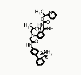 CC(C)CN(CC(=O)Nc1ccc(-c2ccccc2S(N)(=O)=O)cc1)c1cccc(C(=N)NC(=O)OC(C)c2ccccn2)c1